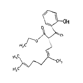 CCOC(=O)[C@@H](C/C=C(\C)CCC=C(C)C)C(=O)c1ccccc1O